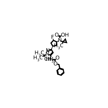 CC1(N(C(=O)O)[C@H]2C[C@@H](c3cc(NC(=O)OCc4ccccc4)n(C(C)(C)C)n3)C[C@H]2F)CC1